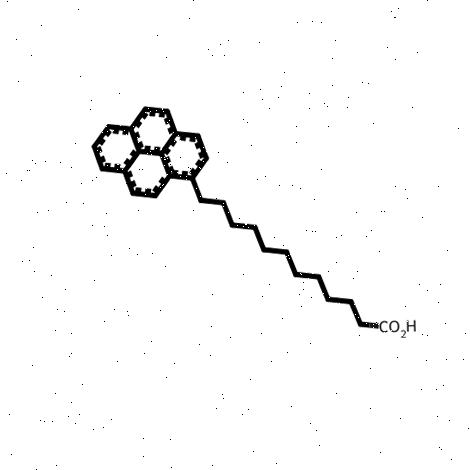 O=C(O)CCCCCCCCCCCc1ccc2ccc3cccc4ccc1c2c34